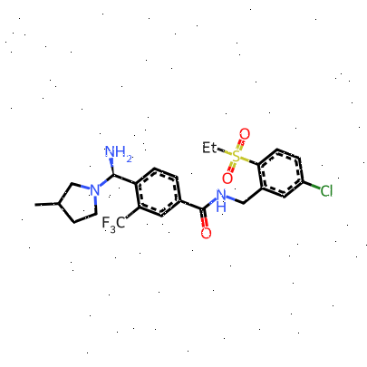 CCS(=O)(=O)c1ccc(Cl)cc1CNC(=O)c1ccc([C@H](N)N2CCC(C)C2)c(C(F)(F)F)c1